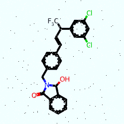 O=C1c2ccccc2C(O)N1Cc1ccc(/C=C/C(c2cc(Cl)cc(Cl)c2)C(F)(F)F)cc1